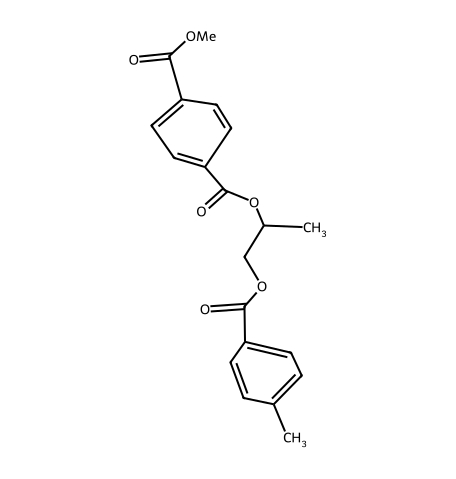 COC(=O)c1ccc(C(=O)OC(C)COC(=O)c2ccc(C)cc2)cc1